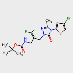 Cc1nn(CC(CNC(=O)OC(C)(C)C)=C(F)F)c(=O)n1-c1cc(Br)cs1